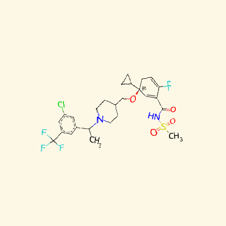 CC(c1cc(Cl)cc(C(F)(F)F)c1)N1CCC(CO[C@]2(C3CC3)C=C(C(=O)NS(C)(=O)=O)C(F)=CC2)CC1